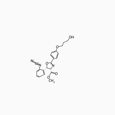 COC(=O)[C@H]1N=C(c2ccc(OCCCO)cc2)O[C@H]1c1ccccc1N=[N+]=[N-]